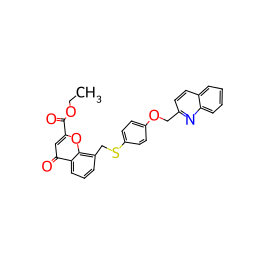 CCOC(=O)c1cc(=O)c2cccc(CSc3ccc(OCc4ccc5ccccc5n4)cc3)c2o1